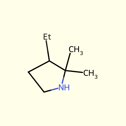 CCC1CCNC1(C)C